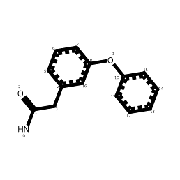 [NH]C(=O)Cc1cccc(Oc2ccccc2)c1